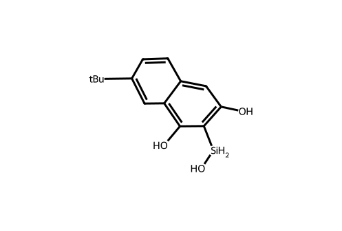 CC(C)(C)c1ccc2cc(O)c([SiH2]O)c(O)c2c1